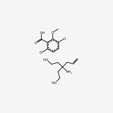 C=CCC(N)(CCO)CCO.COc1c(Cl)ccc(Cl)c1C(=O)O